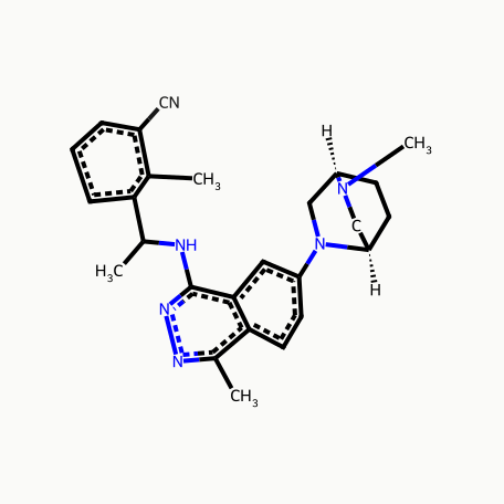 Cc1c(C#N)cccc1C(C)Nc1nnc(C)c2ccc(N3C[C@H]4CC[C@@H]3CN4C)cc12